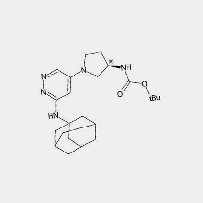 CC(C)(C)OC(=O)N[C@@H]1CCN(c2cnnc(NC34CC5CC(CC(C5)C3)C4)c2)C1